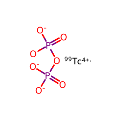 O=P([O-])([O-])OP(=O)([O-])[O-].[99Tc+4]